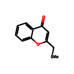 CSCc1cc(=O)c2ccccc2o1